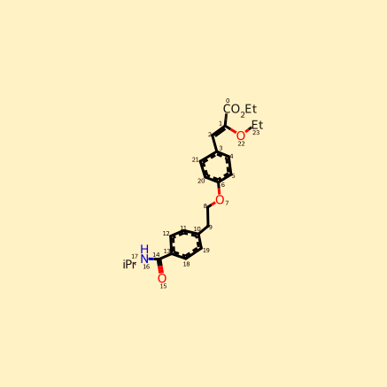 CCOC(=O)C(=Cc1ccc(OCCc2ccc(C(=O)NC(C)C)cc2)cc1)OCC